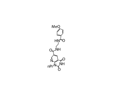 CCCn1c(=O)[nH]c(=O)c2cc(C(=O)NCCNC(=O)c3ccc(OC)cc3)cnc21